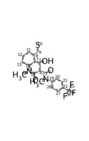 CN(C(=O)c1c(O)c2c(C=S)cccc2n(C)c1=O)c1ccc(C(F)(F)F)cc1